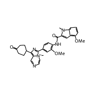 COc1cc(C2=NC(C3CCC(=O)CC3)=C3C=NC=C[N+]23C)ccc1NC(=O)c1cc2c(OC)cccc2n1C